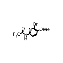 COc1ccc(NC(=O)C(F)(F)F)nc1Br